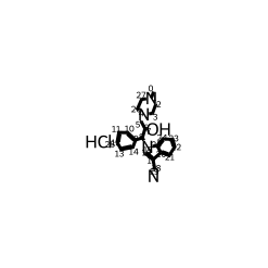 CN1CCN(CC(O)C(c2ccccc2)n2cc(C#N)c3ccccc32)CC1.Cl